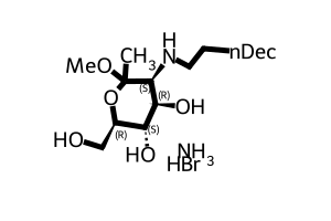 Br.CCCCCCCCCCCCN[C@H]1[C@@H](O)[C@H](O)[C@@H](CO)OC1(C)OC.N